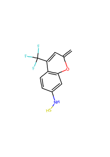 C=C1C=C(C(F)(F)F)c2ccc(NS)cc2O1